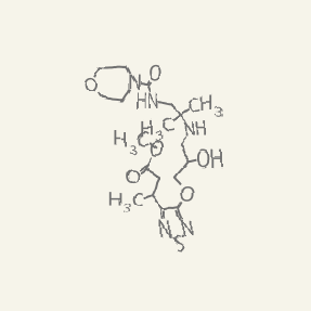 COC(=O)CC(C)c1nsnc1OCC(O)CNC(C)(C)CNC(=O)N1CCOCC1